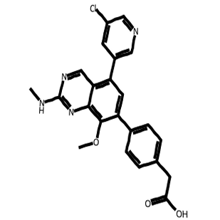 CNc1ncc2c(-c3cncc(Cl)c3)cc(-c3ccc(CC(=O)O)cc3)c(OC)c2n1